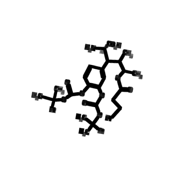 CCC(C)(C)OC(=O)Oc1ccc(C(C(C)C(C)OC(=O)CCC(C)C)[C@H](N)C(=O)O)cc1OC(=O)OC(C)(C)CC